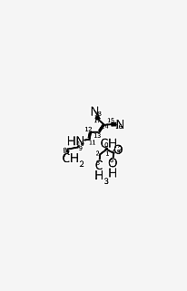 C=C(CC)C(=O)O.C=CCNC=CC=C(C#N)C#N